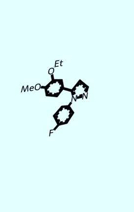 CCOc1cc(-c2ccnn2-c2ccc(F)cc2)ccc1OC